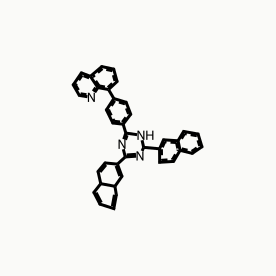 C1=CC2C=CC(C3=NC(c4ccc5ccccc5c4)NC(c4ccc(-c5cccc6cccnc56)cc4)=N3)=CC2C=C1